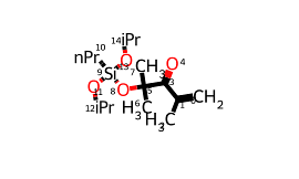 C=C(C)C(=O)C(C)(C)O[Si](CCC)(OC(C)C)OC(C)C